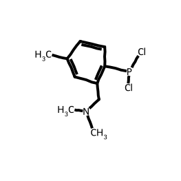 Cc1ccc(P(Cl)Cl)c(CN(C)C)c1